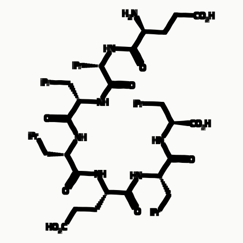 CC(C)C[C@H](NC(=O)[C@H](CC(C)C)NC(=O)[C@H](CCC(=O)O)NC(=O)[C@H](CC(C)C)NC(=O)[C@H](CC(C)C)NC(=O)[C@@H](NC(=O)[C@@H](N)CCC(=O)O)C(C)C)C(=O)O